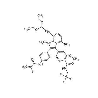 C=C(F)C(=O)Nc1ccc(-c2c(-c3ccc(C(=O)NCC(F)(F)F)c(OC)c3)c3c(N)ncc(C#CC(OCC)OCC)c3n2C)cc1